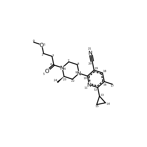 COCCC(=O)N1CCN(c2nc(C3CC3)c(C)cc2C#N)C[C@H]1C